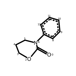 O=C1OCCCN1c1ccccc1